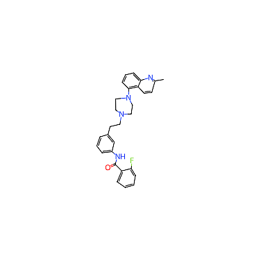 Cc1ccc2c(N3CCN(CCc4cccc(NC(=O)c5ccccc5F)c4)CC3)cccc2n1